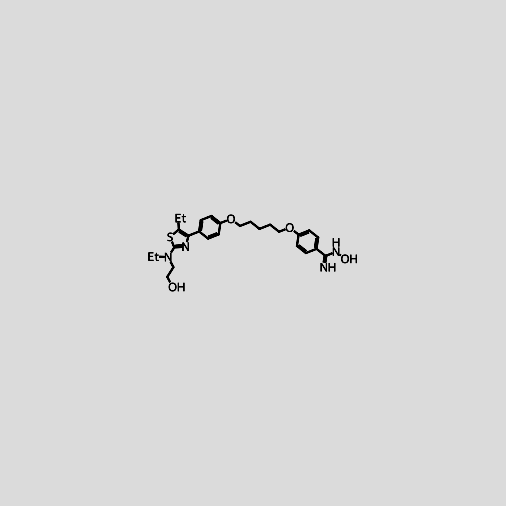 CCc1sc(N(CC)CCO)nc1-c1ccc(OCCCCCOc2ccc(C(=N)NO)cc2)cc1